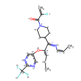 C=C(F)C(=O)N1CCC(C(=N/C=C\C)/C(=C/CC)Oc2cnc(C(F)(F)F)nc2)CC1